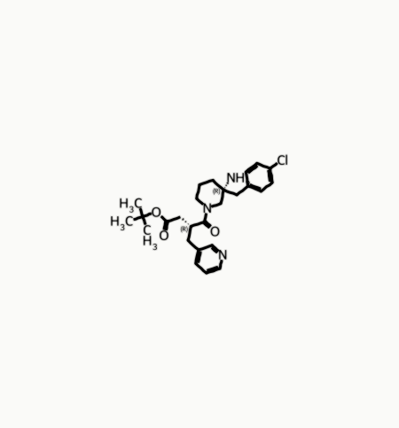 CC(C)(C)OC(=O)C[C@@H](Cc1cccnc1)C(=O)N1CCC[C@@](N)(Cc2ccc(Cl)cc2)C1